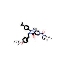 CCN(CC)C(=O)N1CCC2(CC1)C(=O)N(CCc1ccc(OC)cc1)C(c1ccc(C3CC3)cc1)N2C